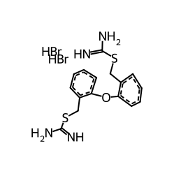 Br.Br.N=C(N)SCc1ccccc1Oc1ccccc1CSC(=N)N